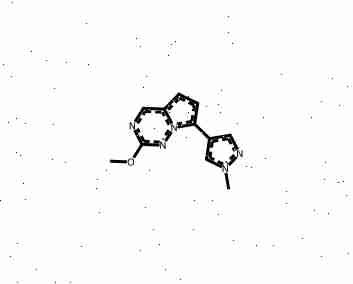 COc1ncc2ccc(-c3cnn(C)c3)n2n1